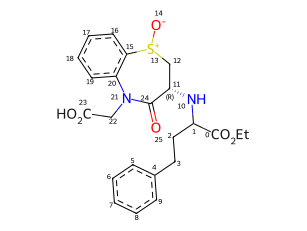 CCOC(=O)C(CCc1ccccc1)N[C@H]1C[S+]([O-])c2ccccc2N(CC(=O)O)C1=O